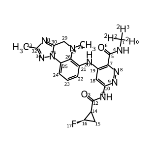 [2H]C([2H])([2H])NC(=O)c1nnc(NC(=O)C2C[C@H]2F)cc1Nc1cccc2c1N(C)Cc1nc(C)nn1-2